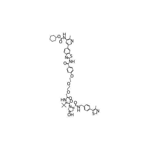 Cc1ncc(-c2ccc3nc(NC(=O)c4ccc(OCCOCCOCC(=O)N[C@H](C(=O)N5C[C@H](O)C[C@H]5C(=O)NCc5ccc(-c6scnc6C)cc5)C(C)(C)C)cc4)sc3c2)cc1NC(=O)OC1CCCCC1